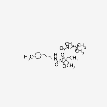 CCC1(CC)C(=O)N(C(=O)NCCCCc2ccc(C)cc2)[C@H]1OCC(=O)N(C)CCN(C)C